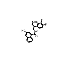 CN(CC(CC=O)c1ccc(F)c(F)c1)C(=O)c1cc(C#N)cc2ccccc12